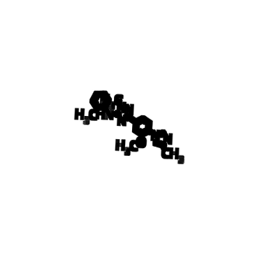 COc1cc(-c2nc(Nc3ccccc3C)n(C)n2)ccc1-n1cnc(C)c1